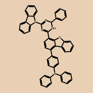 c1ccc(C2N=C(n3c4ccccc4c4ccccc43)N=C(c3ccc(-c4ccc(N(c5ccccc5)c5ccccc5)cc4)c4c3oc3ccccc34)N2)cc1